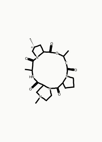 CC1CC(=O)N2CCCC2C(=O)N2CCN(C)CC2C(=O)NC(C)C(=O)N2C[C@H](C)CC2C(=O)O1